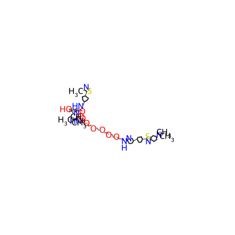 Cc1ncsc1-c1ccc(CNC(=O)[C@H]2C[C@H](O)CN2C(=O)[C@H](NC(=O)COCCOCCOCCOCCOCCNc2ccc(-c3ccc(-c4nc5ccc(N(C)C)cc5s4)cc3)cn2)C(C)(C)C)cc1